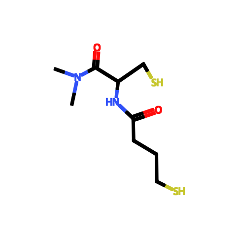 CN(C)C(=O)C(CS)NC(=O)CCCS